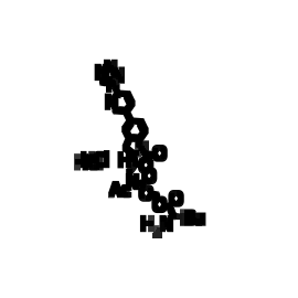 CC[C@H](C)[C@@H](N)C(=O)OCOC(=O)N(C[C@@H]1OC(=O)N2c3ccc(-c4ccc(-n5cnnn5)nc4)cc3C[C@@H]12)C(C)=O.Cl.Cl